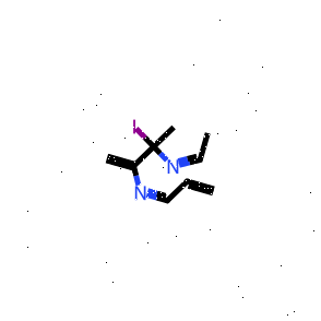 C=C/C=N\C(=C)C(C)(I)/N=C\C